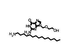 CCCCCCCCCCCCCCCN.Nc1nc2c(ncn2COCCO)c(=O)[nH]1